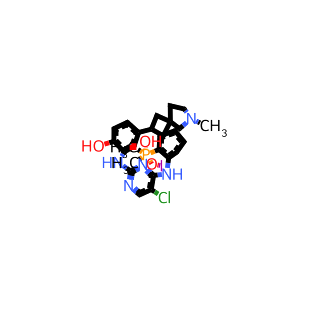 CN1CCC2(CC(c3ccc(O)c(Nc4ncc(Cl)c(Nc5ccccc5P(C)(C)(O)OI)n4)c3)C2)C1